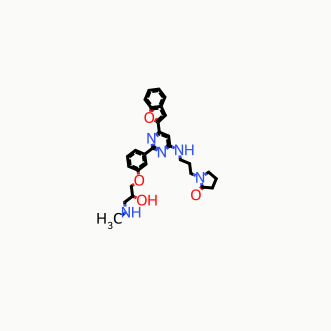 CNCC(O)COc1cccc(-c2nc(NCCCN3CCCC3=O)cc(-c3cc4ccccc4o3)n2)c1